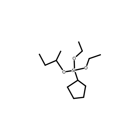 CCO[Si](OCC)(OC(C)CC)C1CCCC1